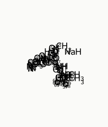 CCN1CCN(C(=O)N[C@H](C(=O)N[C@@H]2C(=O)N3C(C(=O)O)=C(CSc4nnnn4C)CS[C@H]23)c2ccc(NC(=O)OCC(NC(=O)OC(C)(C)C)C(=O)OC(c3ccccc3)c3ccccc3)cc2)C(=O)C1=O.[NaH]